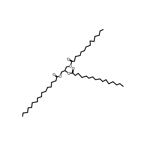 CCCCCCCCCCCCCCCC(=O)OCC(COC(=O)CCCCCCCCCCCCC)OC(=O)CCCCCCCCCCCCCCC